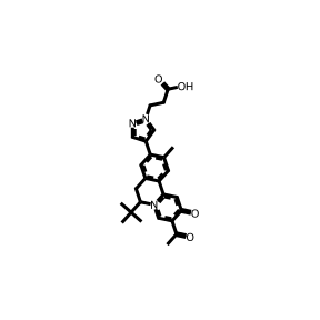 CC(=O)c1cn2c(cc1=O)-c1cc(C)c(-c3cnn(CCC(=O)O)c3)cc1CC2C(C)(C)C